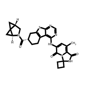 Cc1cc(Nc2ncnc3sc4c(c23)CC[C@H](C(=O)N2C[C@H]3CC35C[C@H]25)C4)c(=O)n2c1C(=O)NC21CCC1